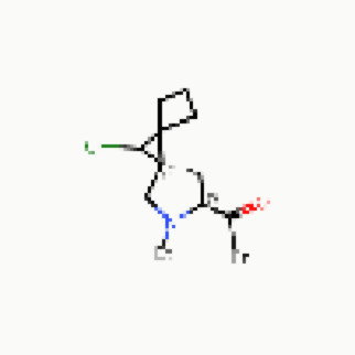 CCC(=O)[C@@H]1C[C@]2(CN1CC)C(Cl)C21CCC1